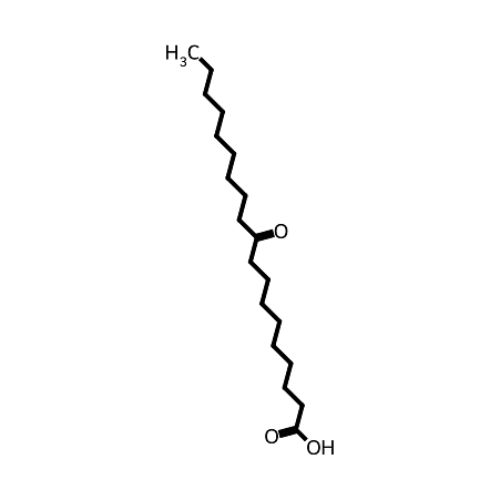 CCCCCCCCCC(=O)CCCCCCCCC(=O)O